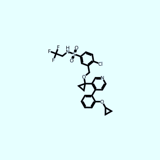 O=S(=O)(NCC(F)(F)F)c1ccc(Cl)c(COC2(c3cnccc3-c3ccccc3OC3CC3)CC2)c1